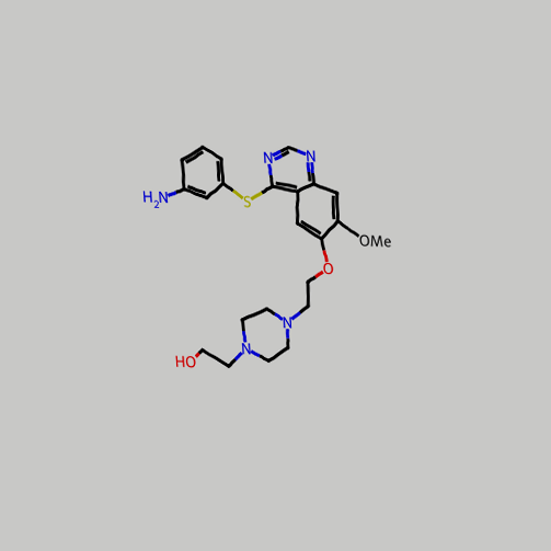 COc1cc2ncnc(Sc3cccc(N)c3)c2cc1OCCN1CCN(CCO)CC1